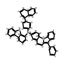 c1ccc(-c2c3ccccc3n3c2ccc2cc(N(c4ccc(-c5cccc6ccccc56)cc4)c4cccc5c4sc4ccccc45)ccc23)cc1